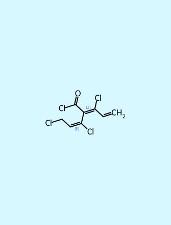 C=C/C(Cl)=C(C(=O)Cl)\C(Cl)=C/CCl